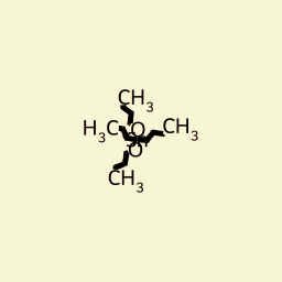 CCCC[O][Sn]([CH2]CC)([CH2]CCC)[O]CCCC